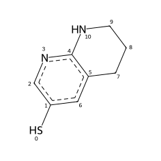 Sc1cnc2c(c1)CCCN2